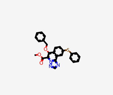 COC(=O)c1c(OCc2ccccc2)c2ccc(Sc3ccccc3)cc2c2ncnn12